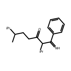 CC(C)C(C)CCC(=O)C(C(=N)c1ccccc1)C(C)C